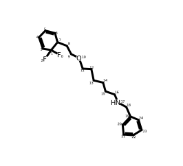 FC1(F)C=CC=CC1CCOCCCCCCNCc1ccccc1